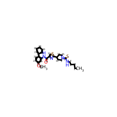 CCCCCNC(=S)N1CCC(c2nc(C(=O)Nc3cc(OC)ccc3-c3ccccc3)cs2)CC1